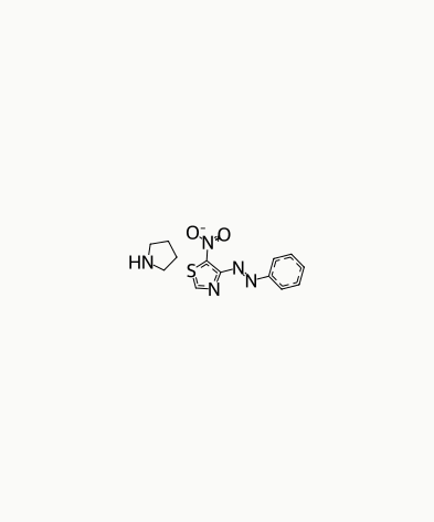 C1CCNC1.O=[N+]([O-])c1scnc1N=Nc1ccccc1